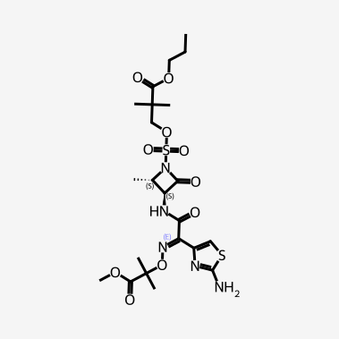 CCCOC(=O)C(C)(C)COS(=O)(=O)N1C(=O)[C@@H](NC(=O)/C(=N/OC(C)(C)C(=O)OC)c2csc(N)n2)[C@@H]1C